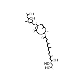 CC(=C\C=C\C(C)=C\[C@H](O)[C@@H](O)C[C@H](C)O)/C=C(C)/C=C/C(=O)OC1CCCC(=O)O[C@@H]([C@@H](C)C/C(C)=C/[C@@H](C)[C@H](O)C[C@@H](C)O)C/C=C(\C)C[C@@H]1C